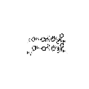 CC1CCCN(CCc2ccc(C(=O)Nc3ccc(OC(=O)N(C)c4ccccc4)nc3)cc2)C1.CC1CCN(CCc2ccc(C(=O)Nc3ccc(OC(=O)N(C)c4ccccc4)nc3)cc2)CC1